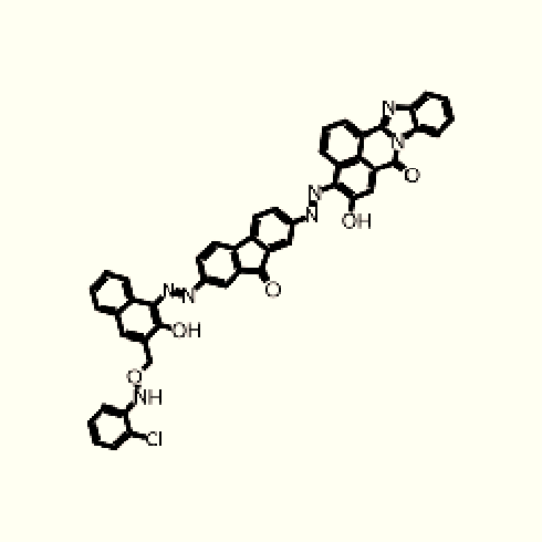 O=C1c2cc(N=Nc3c(O)c(CONc4ccccc4Cl)cc4ccccc34)ccc2-c2ccc(N=Nc3c(O)cc4c(=O)n5c6ccccc6nc5c5cccc3c45)cc21